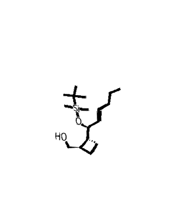 CCC/C=C/[C@H](O[Si](C)(C)C(C)(C)C)[C@@H]1CC[C@H]1CO